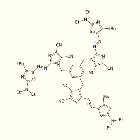 CCN(CC)c1nc(C(C)(C)C)c(/N=N/c2nc(C#N)c(C#N)n2Cc2cc(Cn3c(/N=N/c4sc(N(CC)CC)nc4C(C)(C)C)nc(C#N)c3C#N)cc(Cn3c(/N=N/c4sc(N(CC)CC)nc4C(C)(C)C)nc(C#N)c3C#N)c2)s1